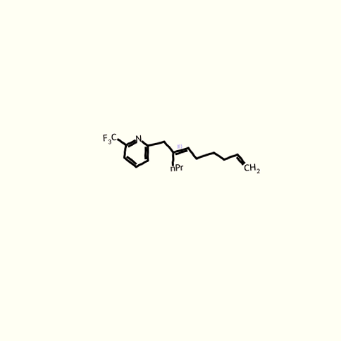 C=CCCC/C=C(\CCC)Cc1cccc(C(F)(F)F)n1